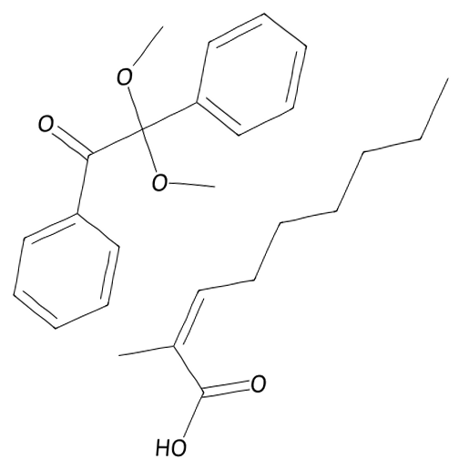 CCCCCCC=C(C)C(=O)O.COC(OC)(C(=O)c1ccccc1)c1ccccc1